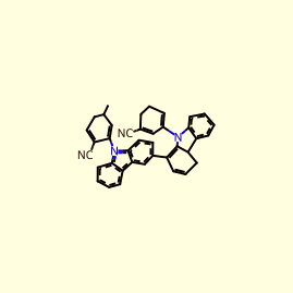 CC1C=C(n2c3ccccc3c3cc(C4=C5C(CC=C4)c4ccccc4N5C4=CCCC(C#N)=C4)ccc32)C(C#N)=CC1